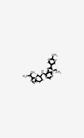 CCn1c(-c2cnc(C)nc2)nc2c(NC3CCc4nnc(C(C)C)n4C3)ncnc21